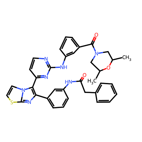 CC1CN(C(=O)c2cccc(Nc3nccc(-c4c(-c5cccc(NC(=O)Cc6ccccc6)c5)nc5sccn45)n3)c2)CC(C)O1